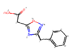 O=C(O)Cc1nc(Cc2ccccc2)no1